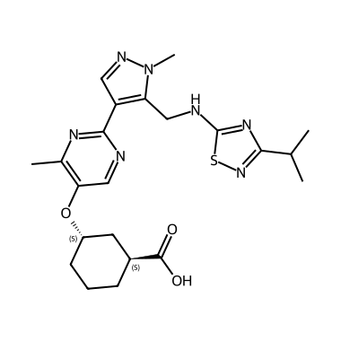 Cc1nc(-c2cnn(C)c2CNc2nc(C(C)C)ns2)ncc1O[C@H]1CCC[C@H](C(=O)O)C1